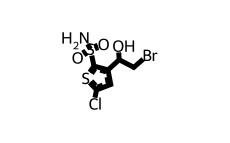 NS(=O)(=O)c1sc(Cl)cc1C(O)CBr